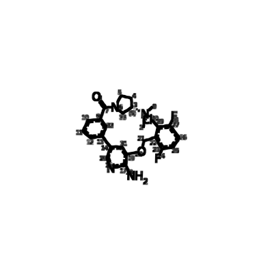 CN(C)[C@H]1CCN(C(=O)c2cccc(-c3cnc(N)c(OCc4c(F)ccc(F)c4Cl)c3)c2)C1